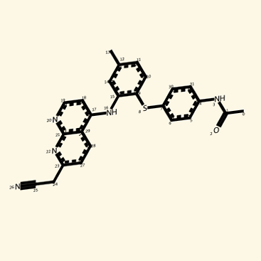 CC(=O)Nc1ccc(Sc2ccc(C)cc2Nc2ccnc3nc(CC#N)ccc23)cc1